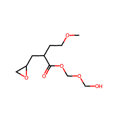 COCCC(CC1CO1)C(=O)OCOCO